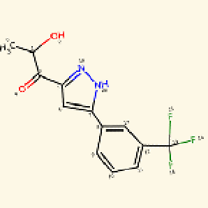 CC(O)C(=O)c1cc(-c2cccc(C(F)(F)F)c2)[nH]n1